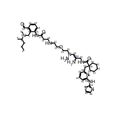 CCCC(C)N(C)Cc1c(C=O)cccc1NC(=O)CCNCCOCCN(N)/C=C(\N)CNC(=O)C1(Cc2cccc(Nc3nccs3)n2)CCCCC1